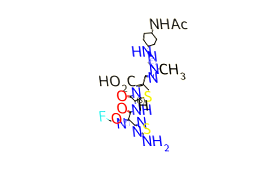 CC(=O)N[C@H]1CC[C@H](N/N=C/N(C)N=CC2=C(C(=O)O)N3C(=O)C(NC(=O)/C(=N\OCF)c4nsc(N)n4)[C@@H]3SC2)CC1